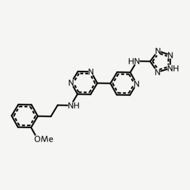 COc1ccccc1CCNc1cc(-c2ccnc(Nc3nn[nH]n3)c2)ncn1